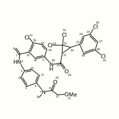 C=C(Nc1ccc(N(C)C(=O)COC)cc1)c1cc(NC(=O)C2C(c3cc(Cl)cc(Cl)c3)C2(Cl)Cl)ccc1Cl